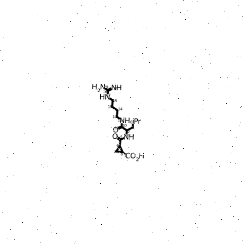 CC(C)CC(NC(=O)C1C[C@@H]1C(=O)O)C(=O)NCCCCNC(=N)N